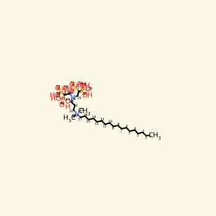 CCCCCCCCCCCCCCCCCC[N+](C)(C)CCCN(CC(P(=O)(O)O)P(=O)(O)O)CC(P(=O)(O)O)P(=O)(O)O